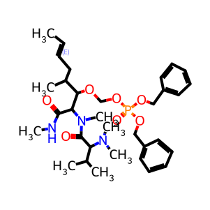 C/C=C/CC(C)C(OCOP(=O)(OCc1ccccc1)OCc1ccccc1)C(C(=O)NC)N(C)C(=O)C(C(C)C)N(C)C